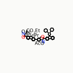 CCCC1(CCC)c2cc(C(=O)/C(CCC(=O)OCC)=N/OC(C)=O)ccc2-c2ccc(-c3ccc(/C(=N\OC(C)=O)C(=O)c4ccc5c(c4)C(CCC4CCCCC4)(CCC4CCCCC4)c4ccccc4-5)c(C)c3)cc21